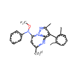 Cc1cccc(C)c1-c1c(C)nn2c(N(OC(F)(F)F)c3ccccc3)cc(C(=O)O)nc12